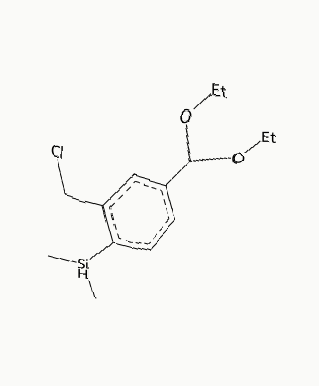 CCOC(OCC)c1ccc([SiH](C)C)c(CCl)c1